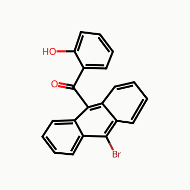 O=C(c1ccccc1O)c1c2ccccc2c(Br)c2ccccc12